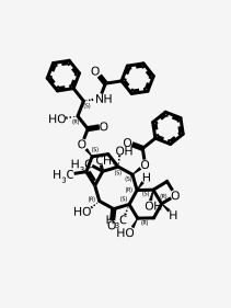 CC1=C2[C@@H](O)C(=O)[C@]3(C)[C@H](O)C[C@H]4OC[C@@]4(O)[C@H]3[C@H](OC(=O)c3ccccc3)[C@](O)(C[C@@H]1OC(=O)[C@H](O)[C@@H](NC(=O)c1ccccc1)c1ccccc1)C2(C)C